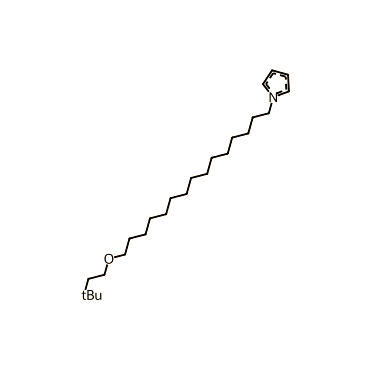 CC(C)(C)CCOCCCCCCCCCCCCCCCn1cccc1